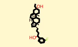 CC[C@]1(O)CC[C@@]2(C)C(=CC[C@H]3[C@@H]4CC[C@H](CCC[C@H](O)c5cccc(F)c5)[C@@]4(C)CC[C@@H]32)C1